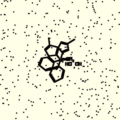 CC1=CC[C]([Hf](=[SiH2])([C]2=CC(C)=CC2)([c]2ccccc2)[c]2ccccc2)=C1.Cl.Cl